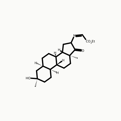 CCOC(=O)/C=N\C1C[C@H]2[C@@H]3CC[C@@H]4C[C@](C)(O)CC[C@@H]4[C@H]3CC[C@]2(C)C1=O